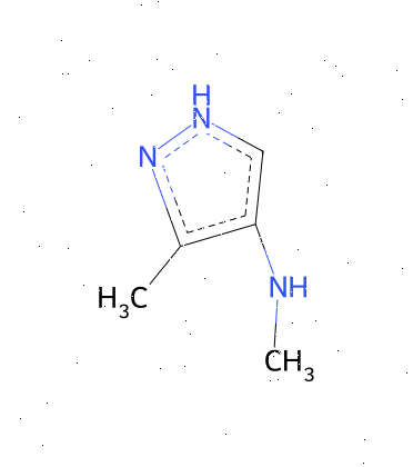 CNc1c[nH]nc1C